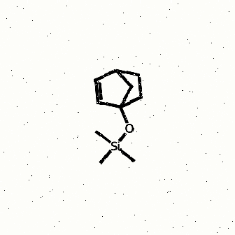 C[Si](C)(C)OC12C=CC(CC1)C2